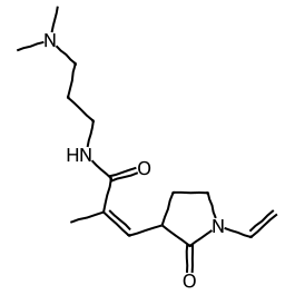 C=CN1CCC(C=C(C)C(=O)NCCCN(C)C)C1=O